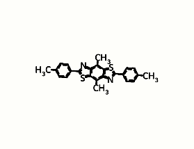 Cc1ccc(-c2nc3c(C)c4sc(-c5ccc(C)cc5)nc4c(C)c3s2)cc1